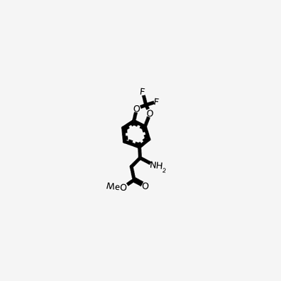 COC(=O)CC(N)c1ccc2c(c1)OC(F)(F)O2